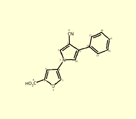 N#Cc1cn(-c2coc(C(=O)O)c2)cc1-c1ccccc1